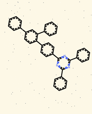 c1ccc(-c2ccc(-c3ccc(-c4nc(-c5ccccc5)nc(-c5ccccc5)n4)cc3)c(-c3ccccc3)c2)cc1